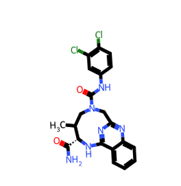 CC1CN(C(=O)Nc2ccc(Cl)c(Cl)c2)Cc2nc(c3ccccc3n2)N[C@@H]1C(N)=O